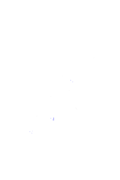 C=CC(Nc1cnccc1OCC)S(=O)(=O)c1ccccc1C(=O)N(C)Cc1cccc(F)c1